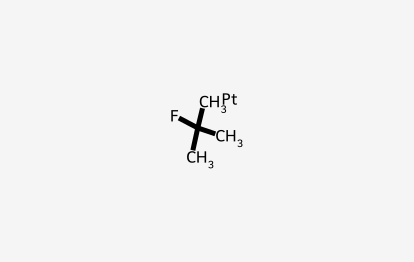 CC(C)(C)F.[Pt]